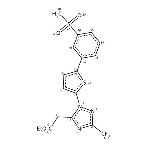 CCOC(=O)Cc1nc(C(F)(F)F)nn1-c1ccc(-c2cccc(S(C)(=O)=O)c2)s1